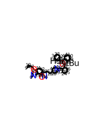 CN(C)Cc1c(OCC2CC2)ccc2c(CCC3CCN(CC4CCCCC4C(O[SiH](c4ccccc4)c4ccccc4)C(C)(C)C)CC3)noc12